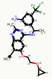 C#Cc1cc2nc(C)nc(NC(C)c3cc(N)cc(C(F)(F)F)c3)c2cc1OCCOC1CC1